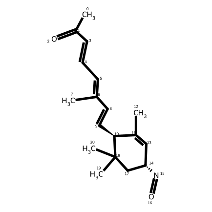 CC(=O)/C=C/C=C(C)/C=C/[C@H]1C(C)=C[C@H](N=O)CC1(C)C